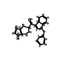 O=C(c1cn(Cc2ccccc2)c2ccccc12)C1CCc2[nH]cnc2C1